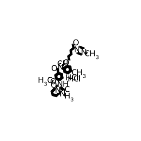 COc1cc(C(=O)N(C)c2ccc(C)cc2OCCCCC(C=O)N2CCN(C)CC2)ccc1NC(=O)[N+]12C=CC=CC1=NC(C)=C2.Cl.Cl